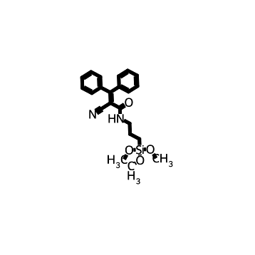 CO[Si](CCCNC(=O)C(C#N)=C(c1ccccc1)c1ccccc1)(OC)OC